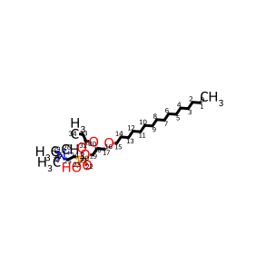 CCCCCCCCCCCCCCCCOCC(COP(=O)(O)CC[N+](C)(C)C)OC(=O)CC